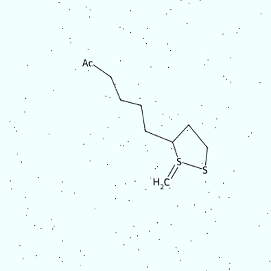 C=S1SCCC1CCCCC(C)=O